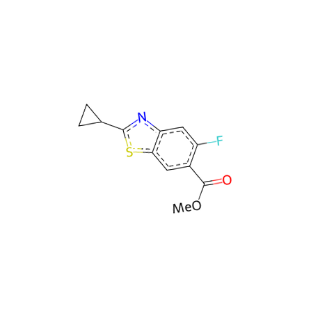 COC(=O)c1cc2sc(C3CC3)nc2cc1F